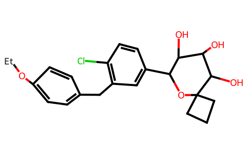 CCOc1ccc(Cc2cc(C3OC4(CCC4)C(O)C(O)C3O)ccc2Cl)cc1